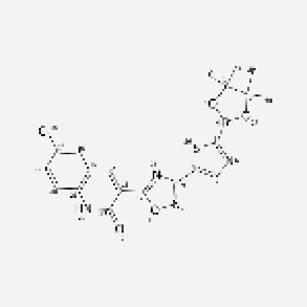 CC1(C)OB(c2ncc(-c3noc(-c4cc5cc(Cl)ccc5[nH]c4=O)n3)s2)OC1(C)C